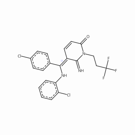 N=C1/C(=C(\Nc2ccccc2Cl)c2ccc(Cl)cc2)C=CC(=O)N1CCC(F)(F)F